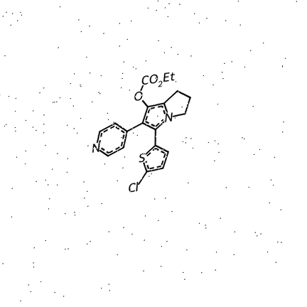 CCOC(=O)Oc1c(-c2ccncc2)c(-c2ccc(Cl)s2)n2c1CCC2